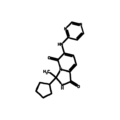 CC1(C2CCCC2)NC(=O)c2ccc(Nc3ccncn3)c(=O)n21